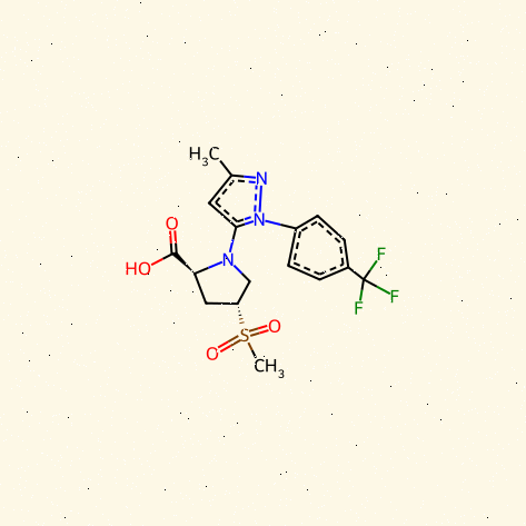 Cc1cc(N2C[C@H](S(C)(=O)=O)C[C@H]2C(=O)O)n(-c2ccc(C(F)(F)F)cc2)n1